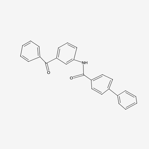 O=C(Nc1cccc(C(=O)c2ccccc2)c1)c1ccc(-c2ccccc2)cc1